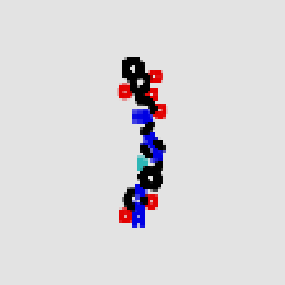 O=C1CCN(c2ccc(CN3CCN(CCNC(=O)c4cc5c(o4)C(=O)c4ccccc4C5=O)CC3)c(F)c2)C(=O)N1